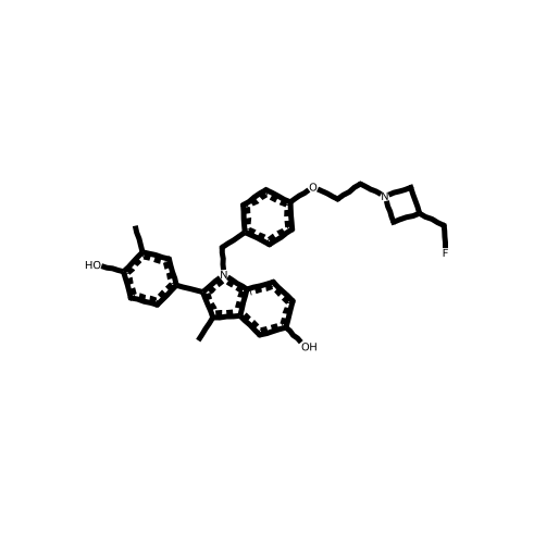 Cc1cc(-c2c(C)c3cc(O)ccc3n2Cc2ccc(OCCN3CC(CF)C3)cc2)ccc1O